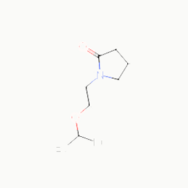 CCC(CC)OCCN1CCCC1=O